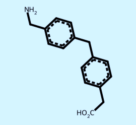 NCc1ccc(Cc2ccc(CC(=O)O)cc2)cc1